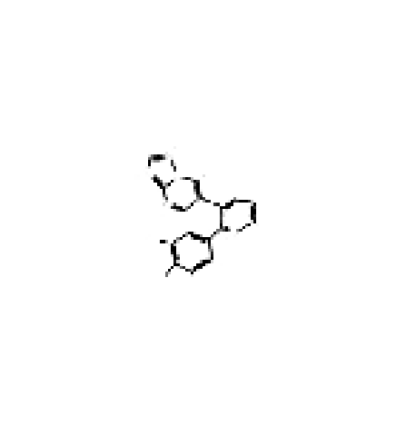 Cc1cc(-c2ncccc2-c2cnc3ncnn3c2)ccc1F